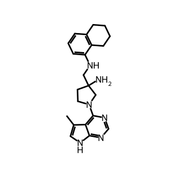 Cc1c[nH]c2ncnc(N3CCC(N)(CNc4cccc5c4CCCC5)C3)c12